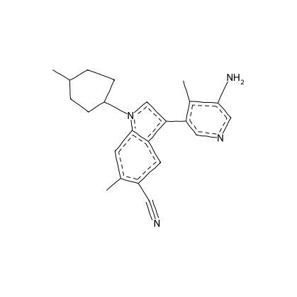 Cc1cc2c(cc1C#N)c(-c1cncc(N)c1C)cn2C1CCC(C)CC1